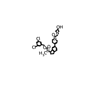 CN(C(=O)OCc1cc(Cl)cc(Cl)c1)C1CCc2ccc(C3=CCN(C(=O)CN4CC(O)C4)CC3)cc21